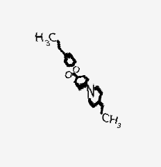 CCCc1ccc(OC(=O)C2CCC(N3CCC(CCC)CC3)CC2)cc1